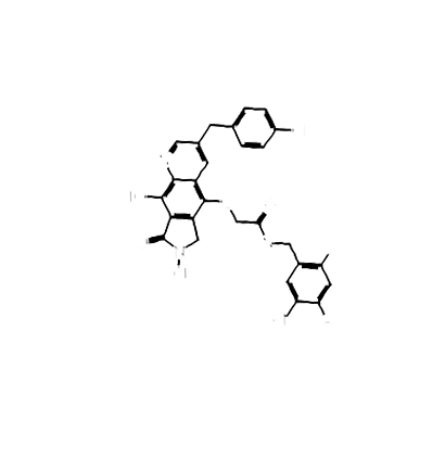 Cc1ccc(Cc2cnc3c(O)c4c(c(OCC(=O)NCc5cc(Cl)c(F)cc5F)c3c2)CN(C)C4=O)cc1